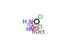 CCCCCCCCNS(=O)(=O)c1c(N)cc(Cl)cc1Cl